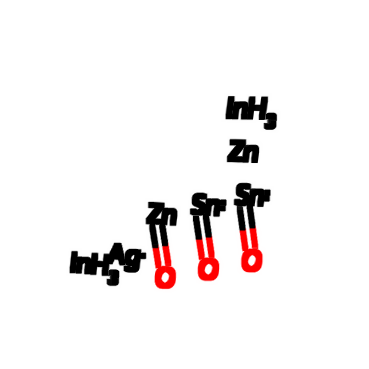 [Ag].[InH3].[InH3].[O]=[Sn].[O]=[Sn].[O]=[Zn].[Zn]